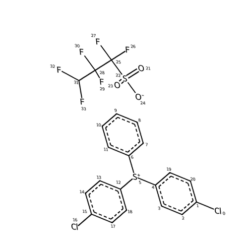 Clc1ccc([S+](c2ccccc2)c2ccc(Cl)cc2)cc1.O=S(=O)([O-])C(F)(F)C(F)(F)C(F)F